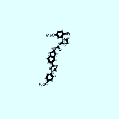 COc1ccc(C(C)C)c(N2C(=O)CS/C2=N\C(=O)NC2Cc3ccc(-c4ncn(-c5ccc(OC(F)(F)F)cc5)n4)cc3C2)c1